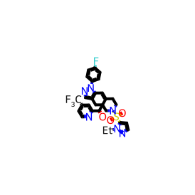 CCn1nccc1S(=O)(=O)N1CCC2=Cc3c(cnn3-c3ccc(F)cc3)CC2(C(=O)c2cc(C(F)(F)F)ccn2)C1